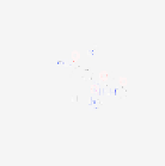 CC(=O)N1CCC(C(C)(C(=O)NCC2(C)CCC2)c2ccc(NC(=O)[C@@H](NC(=O)c3ccnn3C)C3c4ccccc4OCC34CC4)cc2)CC1